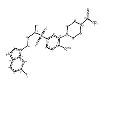 COc1ccc(S(=O)(=O)N(C)CCc2c[nH]c3ccc(F)cc23)cc1N1CCN(C(=O)C(Cl)(Cl)Cl)CC1